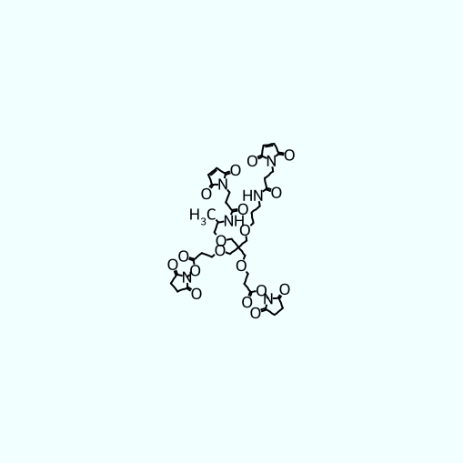 CC(COCC(COCCCNC(=O)CCN1C(=O)C=CC1=O)(COCCC(=O)ON1C(=O)CCC1=O)COCCC(=O)ON1C(=O)CCC1=O)NC(=O)CCN1C(=O)C=CC1=O